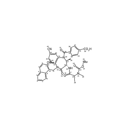 COc1ccc2ccccc2c1CN1C(=O)[C@@H](NC(=O)C(C)N(C)C(=O)OC(C)(C)C)[C@H](C)N(C(=O)c2ccc(C(=O)O)cc2)c2cc(C#N)ccc21